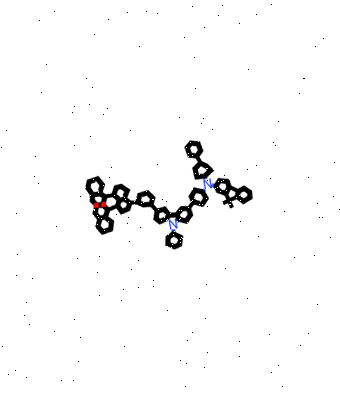 CC1(C)c2ccccc2-c2ccc(N(c3ccc(-c4ccccc4)cc3)c3ccc(-c4ccc5c(c4)c4cc(-c6cccc(-c7ccc(-c8cccc9ccccc89)c8c(-c9cccc%10ccccc9%10)cccc78)c6)ccc4n5-c4ccccc4)cc3)cc21